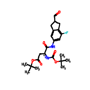 CC(C)(C)OC(=O)C[C@H](NC(=O)OC(C)(C)C)C(=O)Nc1cc(F)c2c(c1)CC(C=O)C2